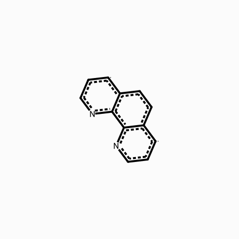 [c]1ccnc2c1ccc1[c]ccnc12